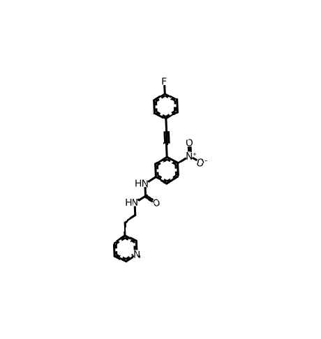 O=C(NCCc1cccnc1)Nc1ccc([N+](=O)[O-])c(C#Cc2ccc(F)cc2)c1